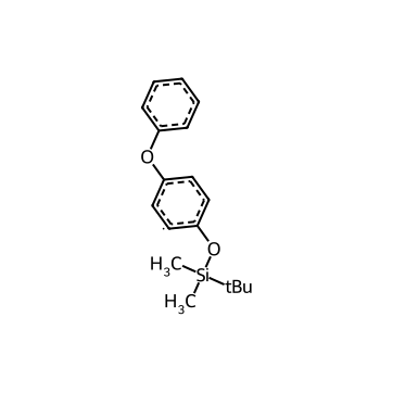 CC(C)(C)[Si](C)(C)Oc1[c]cc(Oc2ccccc2)cc1